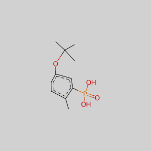 Cc1ccc(OC(C)(C)C)cc1P(=O)(O)O